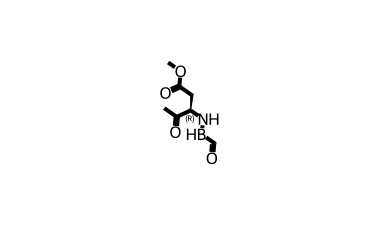 COC(=O)C[C@@H](NBC=O)C(C)=O